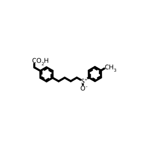 Cc1ccc([S+]([O-])CCCCc2ccc(CC(=O)O)cc2)cc1